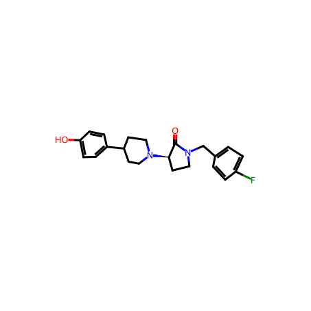 O=C1[C@H](N2CCC(c3ccc(O)cc3)CC2)CCN1Cc1ccc(F)cc1